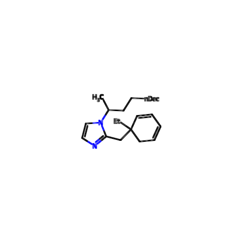 CCCCCCCCCCCCC(C)n1ccnc1CC1(CC)C=CC=CC1